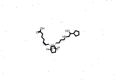 O=C(O)CCC/C=C\C[C@@H]1[C@H](CCCCNCC(O)C2CCCC2)[C@@H]2CC[C@H]1O2